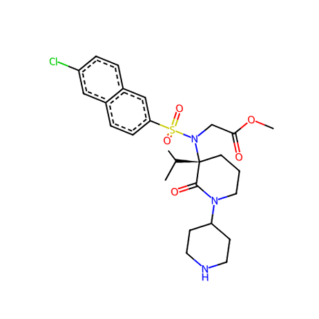 COC(=O)CN([C@]1(C(C)C)CCCN(C2CCNCC2)C1=O)S(=O)(=O)c1ccc2cc(Cl)ccc2c1